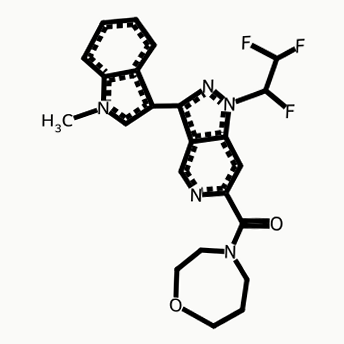 Cn1cc(-c2nn(C(F)C(F)F)c3cc(C(=O)N4CCCOCC4)ncc23)c2ccccc21